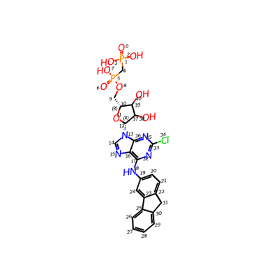 O=P(O)(O)CP(=O)(O)OC[C@H]1O[C@@H](n2cnc3c(Nc4ccc5c(c4)-c4ccccc4C5)nc(Cl)nc32)C(O)C1O